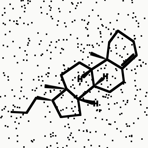 CCC[C@H]1CC[C@H]2[C@@H]3CCC4=CCCC[C@]4(C)[C@H]3CC[C@]12C